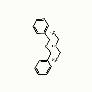 CCNCC.c1ccc(COCc2ccccc2)cc1